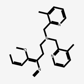 C=N/C(CCN(Cc1ncccc1C)Cc1ncccc1C)=C(\C=C/C)OC